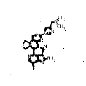 CN(C)Cc1cn(-c2ncc3c4c(c(-c5ncc(F)c6sc(N)c(C#N)c56)c(F)c3n2)COC4)cn1